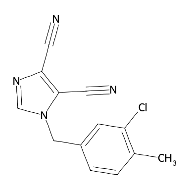 Cc1ccc(Cn2cnc(C#N)c2C#N)cc1Cl